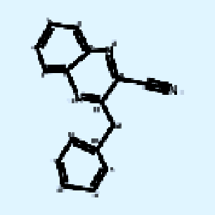 N#Cc1nc2ccccc2nc1Cc1ccccc1